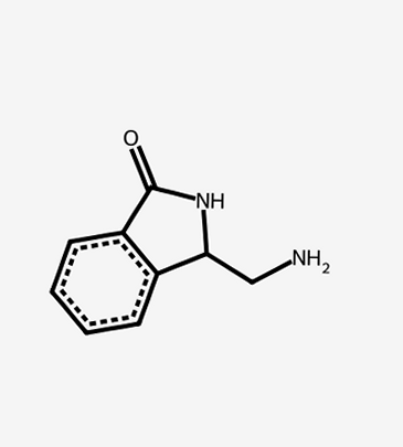 NCC1NC(=O)c2ccccc21